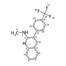 CNc1nc2ccccc2cc1-c1ccc(C(F)(F)F)cc1